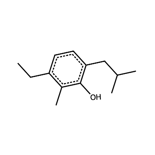 CCc1ccc(CC(C)C)c(O)c1C